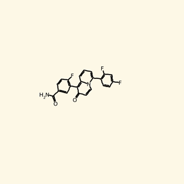 NC(=O)c1ccc(F)c(-c2c(=O)ccn3c(-c4ccc(F)cc4F)cccc23)c1